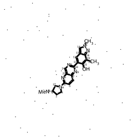 CN[C@H]1CCN(c2ccc3nc(-c4cc5cn(C)nc5c(C)c4O)ncc3n2)C1